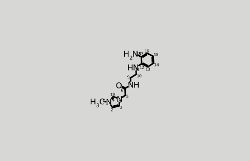 C[n+]1ccn(CC(=O)NCCNc2ccccc2N)c1